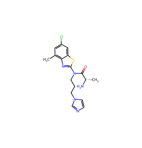 Cc1cc(Cl)cc2sc(N(CCCn3ccnc3)C(=O)[C@H](C)N)nc12